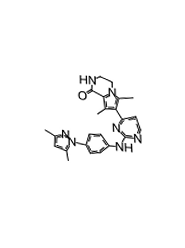 Cc1cc(C)n(-c2ccc(Nc3nccc(-c4c(C)c5n(c4C)CCNC5=O)n3)cc2)n1